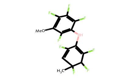 COc1c(F)c(F)c(F)c(BC2=C(F)C(F)C(C)(F)C=C2F)c1F